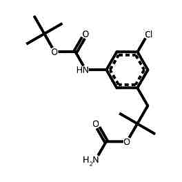 CC(C)(C)OC(=O)Nc1cc(Cl)cc(CC(C)(C)OC(N)=O)c1